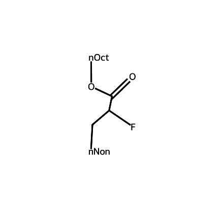 CCCCCCCCCCC(F)C(=O)OCCCCCCCC